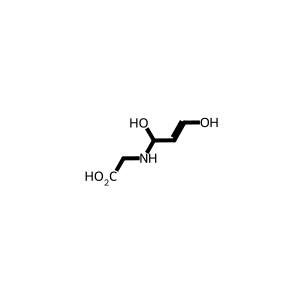 O=C(O)CNC(O)C=CO